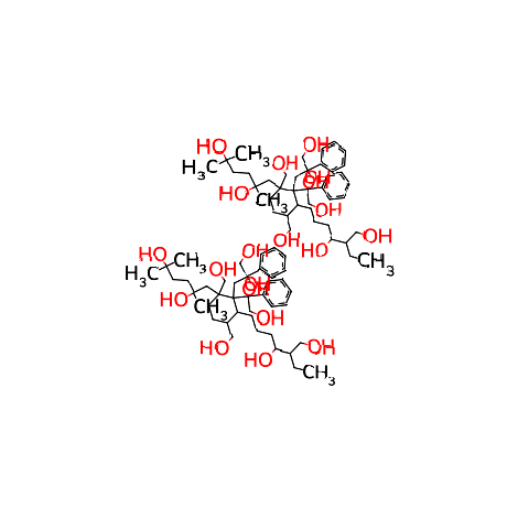 CCC(CO)C(O)CCCC1C(CO)CCC(CO)(CC(C)(O)CCC(C)(C)O)C1(CC(O)(CO)c1ccccc1)C(O)(CO)c1ccccc1.CCC(CO)C(O)CCCC1C(CO)CCC(CO)(CC(C)(O)CCC(C)(C)O)C1(CC(O)(CO)c1ccccc1)C(O)(CO)c1ccccc1